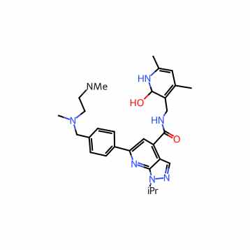 CNCCN(C)Cc1ccc(-c2cc(C(=O)NCC3=C(C)C=C(C)NC3O)c3cnn(C(C)C)c3n2)cc1